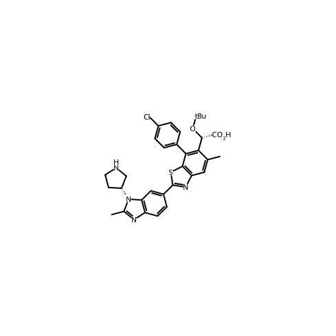 Cc1cc2nc(-c3ccc4nc(C)n([C@@H]5CCNC5)c4c3)sc2c(-c2ccc(Cl)cc2)c1[C@H](OC(C)(C)C)C(=O)O